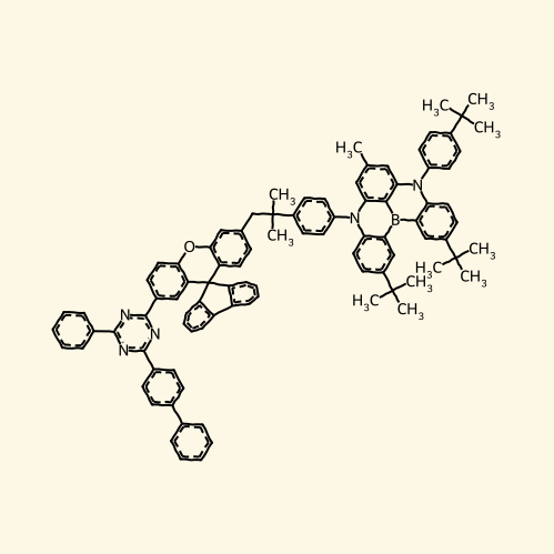 Cc1cc2c3c(c1)N(c1ccc(C(C)(C)Cc4ccc5c(c4)Oc4ccc(-c6nc(-c7ccccc7)nc(-c7ccc(-c8ccccc8)cc7)n6)cc4C54c5ccccc5-c5ccccc54)cc1)c1ccc(C(C)(C)C)cc1B3c1cc(C(C)(C)C)ccc1N2c1ccc(C(C)(C)C)cc1